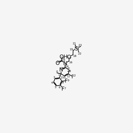 CC1(c2cccc(F)c2F)C=C(I)SC(N(COCC[Si](C)(C)C)C(=O)O)=N1